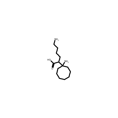 NCCCCC(C(=O)O)C1(N)CCCCCCC1